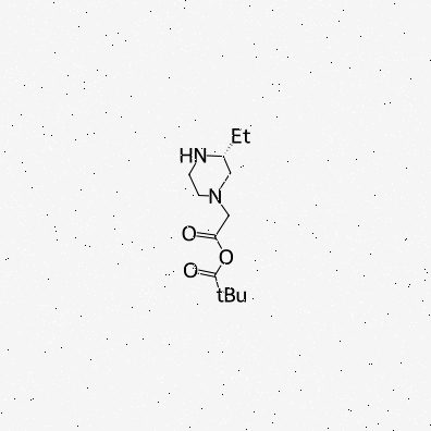 CC[C@@H]1CN(CC(=O)OC(=O)C(C)(C)C)CCN1